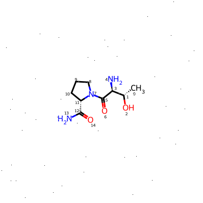 C[C@H](O)[C@H](N)C(=O)N1CCC[C@H]1C(N)=O